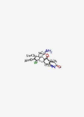 COc1cc(C2C(C#N)=C(N)Oc3c2ccc2c3=CC(=O)N=2)cc(Br)c1OC